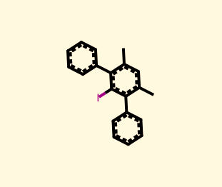 Cc1cc(C)c(-c2ccccc2)c(I)c1-c1ccccc1